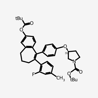 Cc1ccc(C2=C(c3ccc(O[C@H]4CCN(C(=O)OC(C)(C)C)C4)cc3)c3ccc(OC(=O)C(C)(C)C)cc3CCC2)c(F)c1